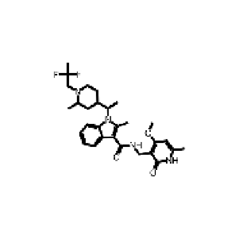 COc1cc(C)[nH]c(=O)c1CNC(=O)c1c(C)n(C(C)C2CCN(CC(C)(F)F)C(C)C2)c2ccccc12